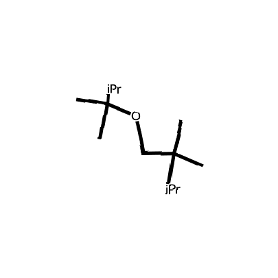 CC(C)C(C)(C)COC(C)(C)C(C)C